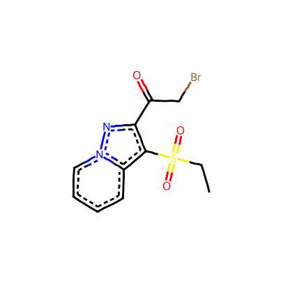 CCS(=O)(=O)c1c(C(=O)CBr)nn2ccccc12